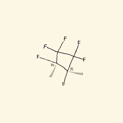 C[C@]1(F)C(F)(F)C(F)(F)[C@@]1(C)F